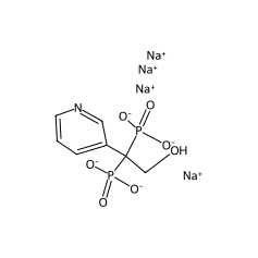 O=P([O-])([O-])C(CO)(c1cccnc1)P(=O)([O-])[O-].[Na+].[Na+].[Na+].[Na+]